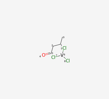 CCCC=O.[Cl][V]([Cl])[Cl]